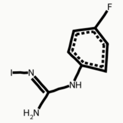 NC(=NI)Nc1ccc(F)cc1